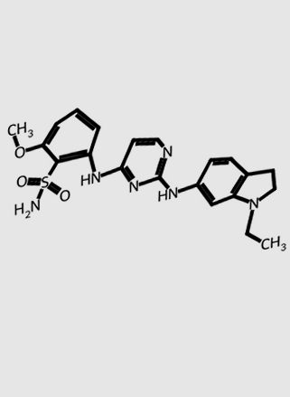 CCN1CCc2ccc(Nc3nccc(Nc4cccc(OC)c4S(N)(=O)=O)n3)cc21